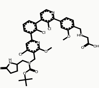 COc1cc(-c2nccc(-c3cccc(-c4cc(Cl)c(CN(CC5CCC(=O)N5)C(=O)OC(C)(C)C)c(OC)n4)c3Cl)c2Cl)ccc1CNCC(=O)O